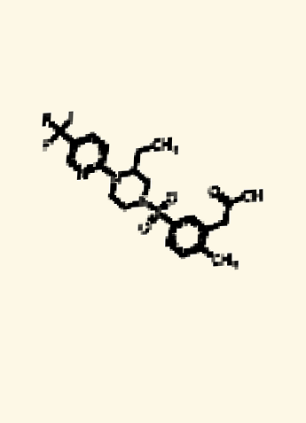 CCC1CN(S(=O)(=O)c2ccc(C)c(CC(=O)O)c2)CCN1c1ccc(C(F)(F)F)cn1